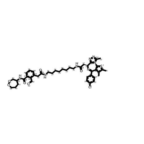 Cc1sc2c(c1C)C(c1ccc(Cl)cc1)=N[C@@H](CC(=O)NCCCCCCCCNC(=O)Cc1cccc(C(=O)NC3CCCOOC3)c1C=O)c1nnc(C)n1-2